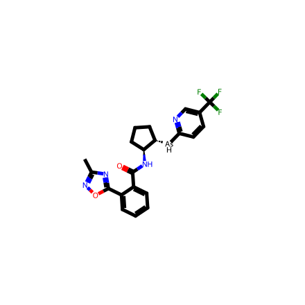 Cc1noc(-c2ccccc2C(=O)N[C@H]2CCC[C@@H]2[AsH]c2ccc(C(F)(F)F)cn2)n1